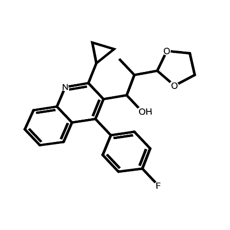 CC(C1OCCO1)C(O)c1c(C2CC2)nc2ccccc2c1-c1ccc(F)cc1